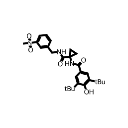 CC(C)(C)c1cc(C(=O)NC2(C(=O)NCc3cccc(S(C)(=O)=O)c3)CC2)cc(C(C)(C)C)c1O